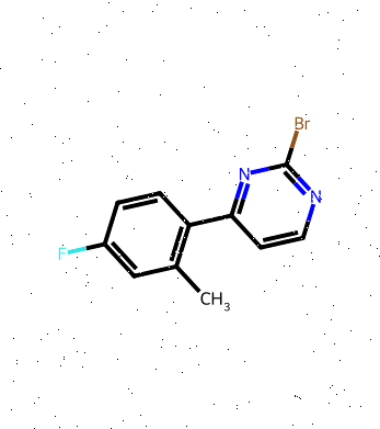 Cc1cc(F)ccc1-c1ccnc(Br)n1